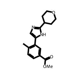 COC(=O)c1ccc(C)c(-c2cnc(C3CCOCC3)[nH]2)c1